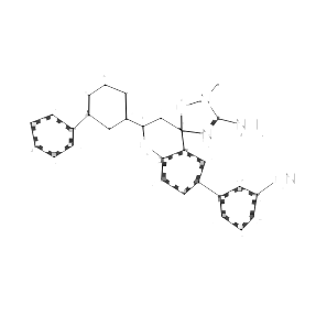 CN1OC2(CC(C3CCCC(c4ccccc4)C3)Oc3ccc(-c4cccc(C#N)c4)cc32)N=C1N